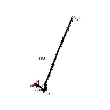 CCCCc1nc2c(N)nc3ccc(N4CCN(CCOCCOCCOCCOCCOCCOCCOCCOCCOCCOCCOCCOCCOCCOCCOCCOCCOCCOCCOCCOCCOCCOCCOCCOCCC(=O)O)CC4)cc3c2n1CCCCNC(=O)Nc1cccc(C#N)c1.Cl